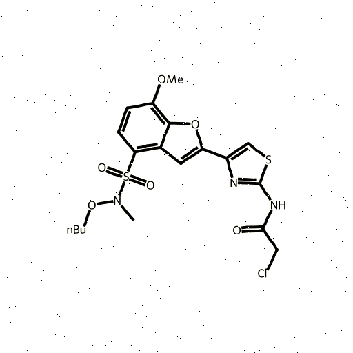 CCCCON(C)S(=O)(=O)c1ccc(OC)c2oc(-c3csc(NC(=O)CCl)n3)cc12